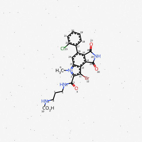 Cn1c(C(=O)NCCCNC(=O)O)c(Br)c2c3c(c(-c4ccccc4Cl)cc21)C(=O)NC3=O